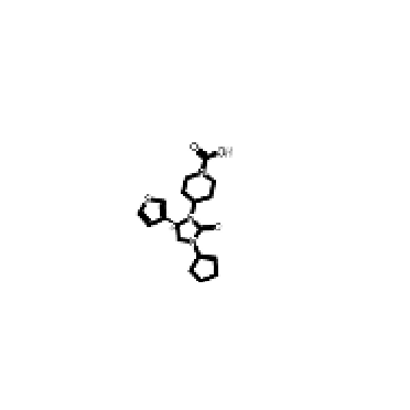 O=C(O)N1CCC(N2C(=O)N(C3CCCC3)C[C@H]2c2ccsc2)CC1